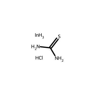 Cl.NC(N)=S.[InH3]